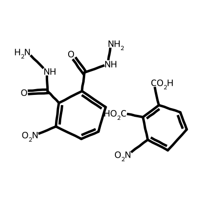 NNC(=O)c1cccc([N+](=O)[O-])c1C(=O)NN.O=C(O)c1cccc([N+](=O)[O-])c1C(=O)O